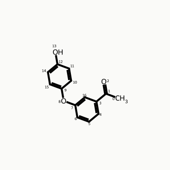 CC(=O)c1cccc(Oc2ccc(O)cc2)c1